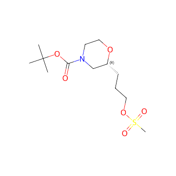 CC(C)(C)OC(=O)N1CCO[C@H](CCCOS(C)(=O)=O)C1